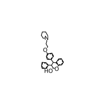 OC1Oc2ccccc2C(c2ccc(OCCCN3CCCCC3)cc2)C1c1ccccc1